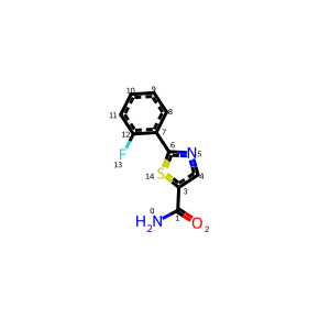 NC(=O)c1cnc(-c2ccccc2F)s1